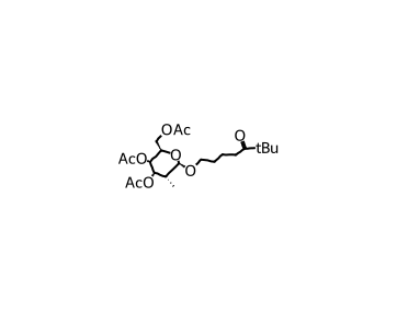 CC(=O)OC[C@H]1O[C@@H](OCCCCC(=O)C(C)(C)C)[C@H](C)[C@@H](OC(C)=O)[C@H]1OC(C)=O